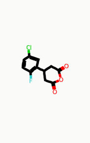 O=C1CC(c2cc(Cl)ccc2F)CC(=O)O1